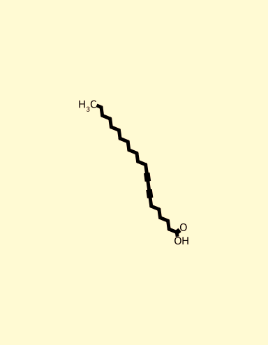 CCCCCCCCCCCCC#CC#CCCCCCC(=O)O